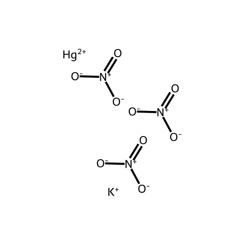 O=[N+]([O-])[O-].O=[N+]([O-])[O-].O=[N+]([O-])[O-].[Hg+2].[K+]